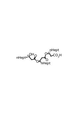 CCCCCCC[C@@H](O)CC(=O)O[C@H](CCCCCCC)CC(=O)O[C@H](CCCCCCC)CC(=O)O